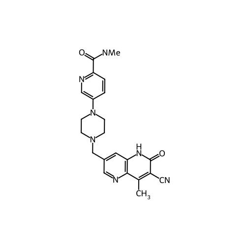 CNC(=O)c1ccc(N2CCN(Cc3cnc4c(C)c(C#N)c(=O)[nH]c4c3)CC2)cn1